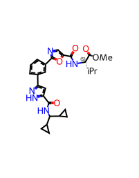 COC(=O)[C@@H](NC(=O)c1cnc(-c2cccc(-c3cc(C(=O)NC(C4CC4)C4CC4)[nH]n3)c2)o1)C(C)C